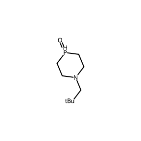 CC(C)(C)CN1CC[PH](=O)CC1